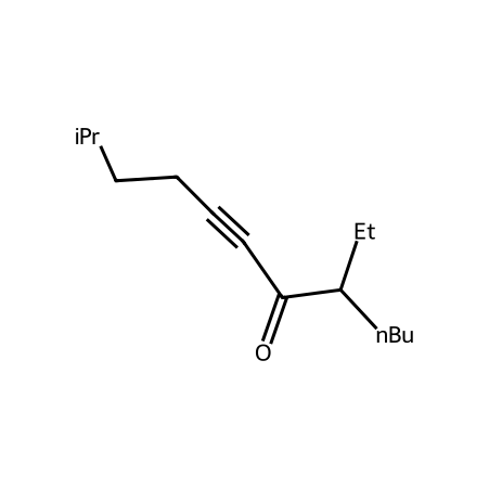 CCCCC(CC)C(=O)C#CCCC(C)C